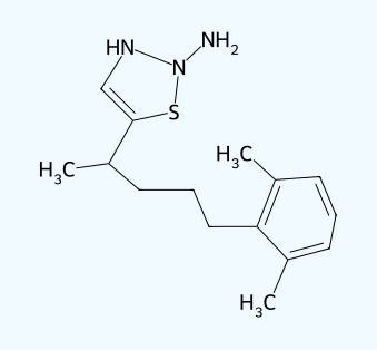 Cc1cccc(C)c1CCCC(C)C1=CNN(N)S1